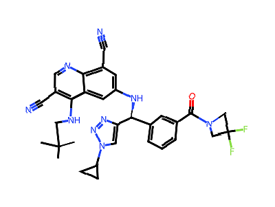 CC(C)(C)CNc1c(C#N)cnc2c(C#N)cc(N[C@@H](c3cccc(C(=O)N4CC(F)(F)C4)c3)c3cn(C4CC4)nn3)cc12